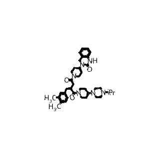 Cc1ccc(CC(CC(=O)N2CCC(N3Cc4ccccc4NC3=O)CC2)C(=O)N2CCC(N3CCN(C(C)C)CC3)CC2)cc1C